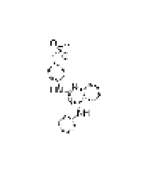 CCS(=O)(=O)Cc1ccc(Nc2nc(Nc3ccccc3)c3ccccc3n2)cc1